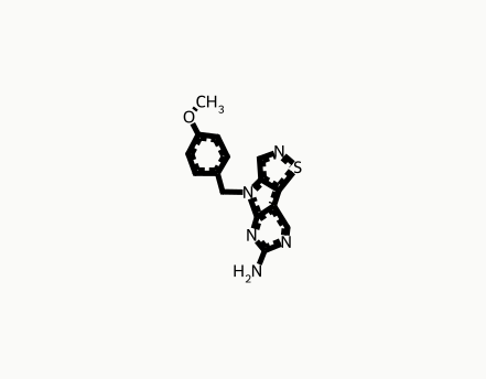 COc1ccc(Cn2c3cnsc3c3cnc(N)nc32)cc1